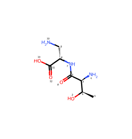 C[C@@H](O)[C@H](N)C(=O)N[C@@H](CN)C(=O)O